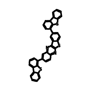 c1ccc2c(c1)sc1c(-c3ccc4nc5sc6ccc(-c7cccc8c7sc7ccccc78)cc6c5nc4c3)cccc12